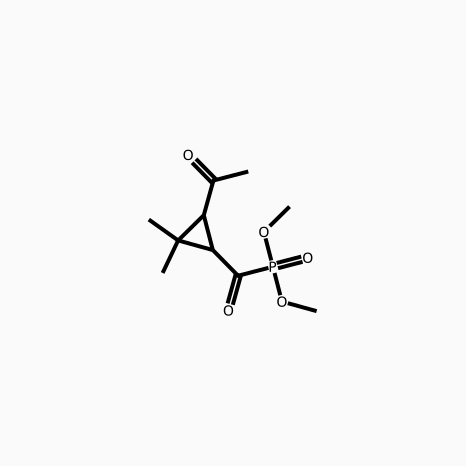 COP(=O)(OC)C(=O)C1C(C(C)=O)C1(C)C